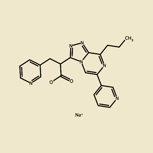 CCCc1nc(-c2cccnc2)cn2c(C(Cc3cccnc3)C(=O)[O-])nnc12.[Na+]